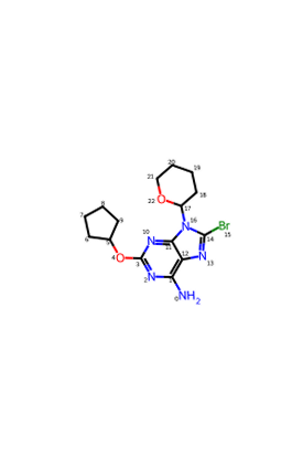 Nc1nc(OC2CCCC2)nc2c1nc(Br)n2C1CCCCO1